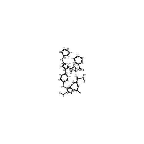 CCc1nc2c(C)cc(C(=O)N(C)C)nc2n1Cc1ccc(-c2cc(Cc3ccccc3)sc2S(=O)(=O)NC(=O)c2ccccc2)cc1